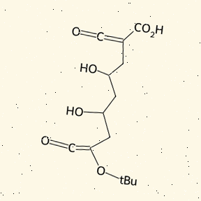 CC(C)(C)OC(=C=O)CC(O)CC(O)CC(=C=O)C(=O)O